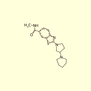 CNC(=O)c1ccc2nc(N3CCC(N4CCCCC4)C3)sc2c1